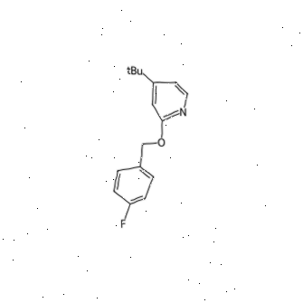 CC(C)(C)c1ccnc(OCc2ccc(F)cc2)c1